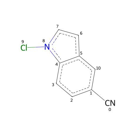 N#Cc1ccc2c(ccn2Cl)c1